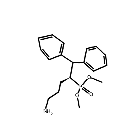 COP(=O)(OC)[C@@H](CCCN)C(c1ccccc1)c1ccccc1